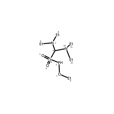 CCOPS(=O)(=O)C(N(CC)CC)N(CC)CC